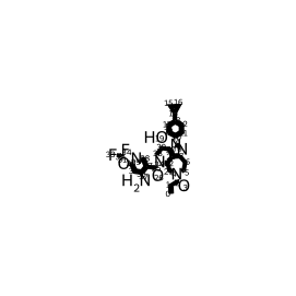 C=CC(=O)N1CCc2nn(-c3ccc(C4CC4)cc3O)c3c2C(C1)N(C(=O)c1cnc(OC(F)F)cc1N)CC3